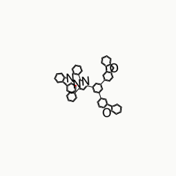 c1ccc(-c2cc(-c3cc(-c4ccc5oc6ccccc6c5c4)cc(-c4ccc5oc6ccccc6c5c4)c3)nc(-c3ccccc3-n3c4ccccc4c4ccccc43)n2)cc1